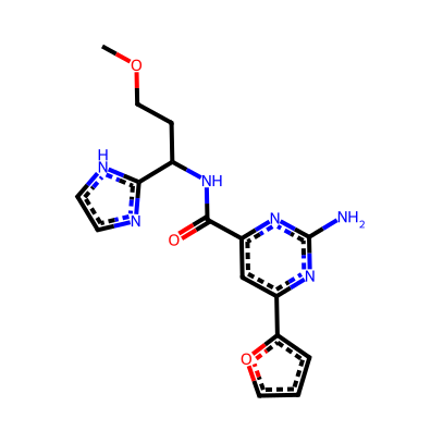 COCCC(NC(=O)c1cc(-c2ccco2)nc(N)n1)c1ncc[nH]1